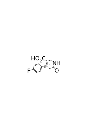 O=C1C[C@H](c2ccc(F)cc2)[C@@H](C(=O)O)CN1